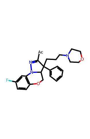 CC(=O)C1=NN2c3cc(F)ccc3OCC2C1(CCCN1CCOCC1)c1ccccc1